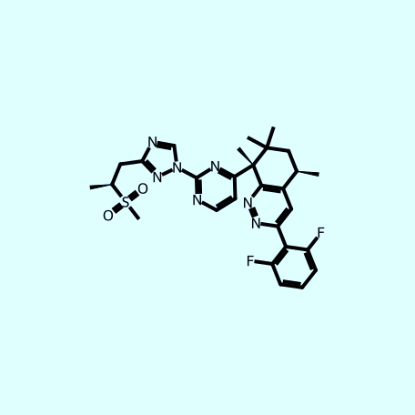 C[C@@H]1CC(C)(C)[C@@](C)(c2ccnc(-n3cnc(C[C@H](C)S(C)(=O)=O)n3)n2)c2nnc(-c3c(F)cccc3F)cc21